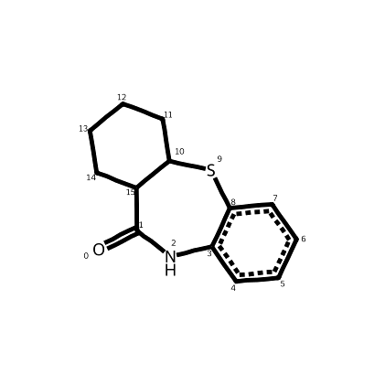 O=C1Nc2ccccc2SC2CCCCC12